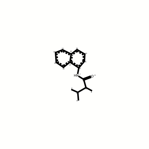 CC(C)C(C)C(=O)Nc1cccc2ccccc12